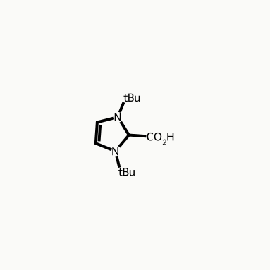 CC(C)(C)N1C=CN(C(C)(C)C)C1C(=O)O